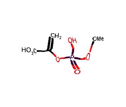 C=C(OP(=O)(O)OOC)C(=O)O